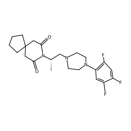 C[C@@H](CN1CCN(c2cc(F)c(F)cc2F)CC1)N1C(=O)CC2(CCCC2)CC1=O